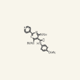 CNc1nc(-c2ccncc2)nc(SC)c1C(=O)Nc1ccc(OC)cc1